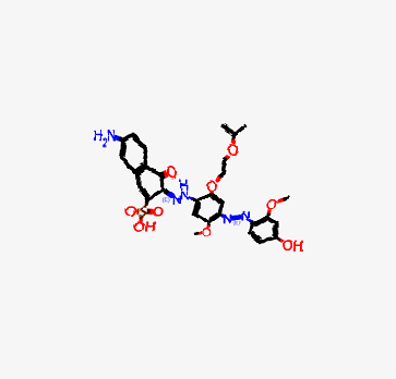 COc1cc(O)ccc1/N=N/c1cc(OCCOC(C)C)c(N/N=C2\C(=O)c3ccc(N)cc3C=C2S(=O)(=O)O)cc1OC